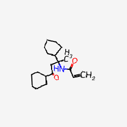 C=CC(=O)NC(C)(CC(=O)C1CCCCC1)C1CCCCC1